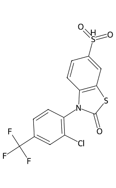 O=c1sc2cc([SH](=O)=O)ccc2n1-c1ccc(C(F)(F)F)cc1Cl